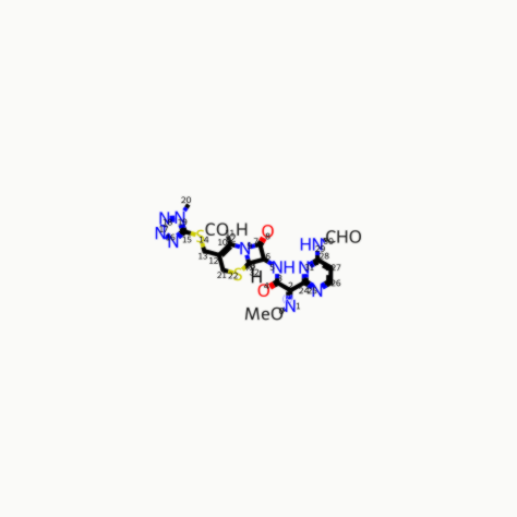 CO/N=C(\C(=O)NC1C(=O)N2C(C(=O)O)=C(CSc3nnnn3C)CS[C@H]12)c1nccc(NC=O)n1